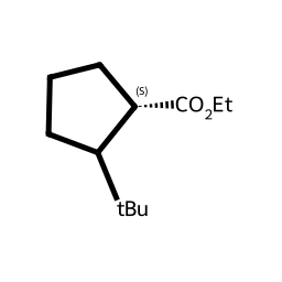 CCOC(=O)[C@H]1CCCC1C(C)(C)C